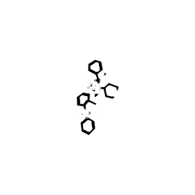 COC(OC)(c1ccccc1)N(C1CCSCC1)S(=O)(=O)c1cccc(S(=O)(=O)c2ccccc2)c1C